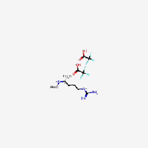 CON[C@@H](CCCNC(=N)N)C(=O)O.O=C(O)C(F)(F)F.O=C(O)C(F)(F)F